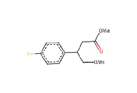 COCC(CC(=O)OC)c1ccc(F)cc1